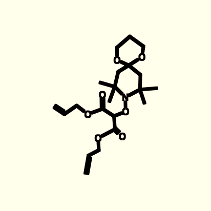 C=CCOC(=O)C(ON1C(C)(C)CC2(CC1(C)C)OCCCO2)C(=O)OCC=C